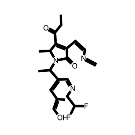 C=N/C=C\C1=C(C(=O)CC)C(C)N(C(C)C(/C=N\CC(F)F)=C/C(C)=C/O)C1=O